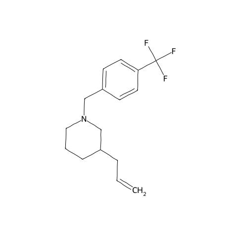 C=CCC1CCCN(Cc2ccc(C(F)(F)F)cc2)C1